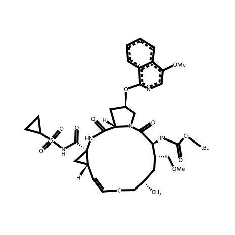 COC[C@@H]1C[C@H](C)CC/C=C\[C@@H]2C[C@@]2(C(=O)NS(=O)(=O)C2CC2)NC(=O)[C@@H]2C[C@@H](Oc3ncc(OC)c4ccccc34)CN2C(=O)[C@H]1NC(=O)OC(C)(C)C